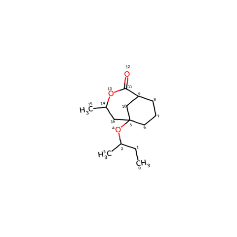 CCC(C)OC12CCCC(C1)C(=O)OC(C)C2